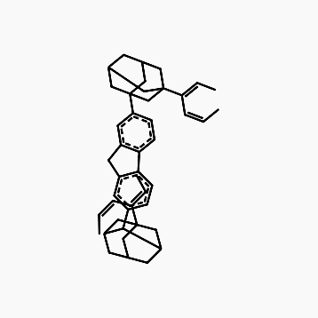 C/C=C\C(=C/C)C12CC3CC(C1)C(c1ccc4c(c1)Cc1cc(C56CC7CC(CC(C(/C=C\C)=C/C)(C7)C5)C6)ccc1-4)C(C3)C2